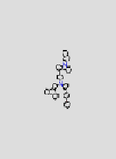 c1ccc(-c2ccc(-c3cccc(N(c4ccc(-c5cccc6c5c5ccccc5n6-c5ccc6ccccc6c5)cc4)c4ccc5c6ccccc6c6ccccc6c5c4)c3)cc2)cc1